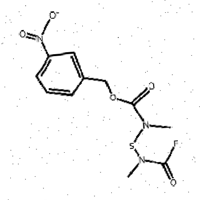 CN(SN(C)C(=O)OCc1cccc([N+](=O)[O-])c1)C(=O)F